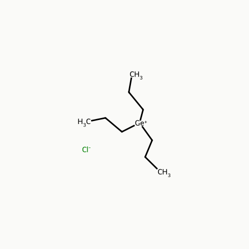 CC[CH2][Ge+]([CH2]CC)[CH2]CC.[Cl-]